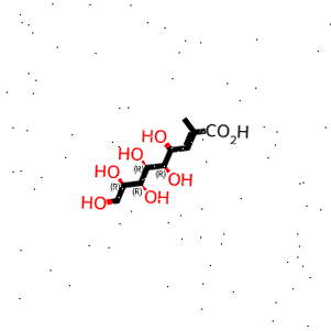 CC(=CC(O)[C@@H](O)[C@@H](O)[C@H](O)[C@H](O)CO)C(=O)O